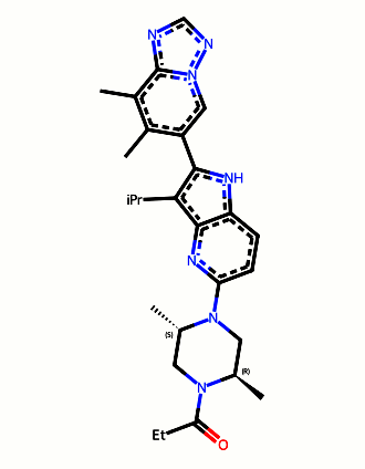 CCC(=O)N1C[C@H](C)N(c2ccc3[nH]c(-c4cn5ncnc5c(C)c4C)c(C(C)C)c3n2)C[C@H]1C